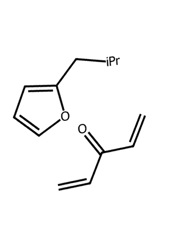 C=CC(=O)C=C.CC(C)Cc1ccco1